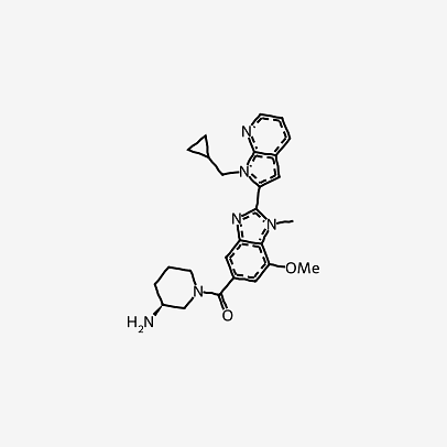 COc1cc(C(=O)N2CCC[C@H](N)C2)cc2nc(-c3cc4cccnc4n3CC3CC3)n(C)c12